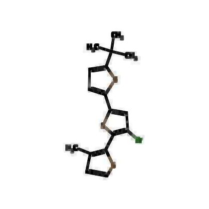 Cc1ccsc1-c1sc(-c2ccc(C(C)(C)C)s2)cc1Br